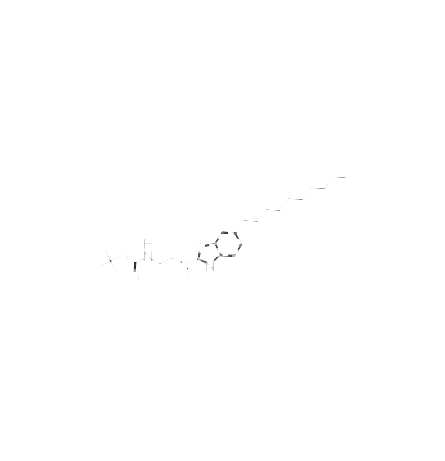 CCCCCCCCCCc1ccc2nc(NCCNC(=O)OC(C)(C)C)sc2c1